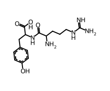 N=C(N)NCCCC(N)C(=O)NC(Cc1ccc(O)cc1)C(=O)O